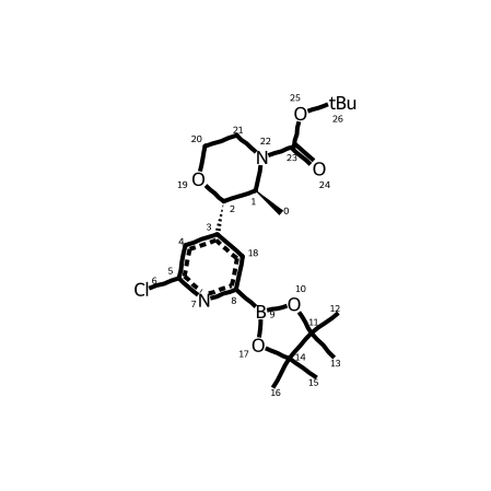 C[C@H]1[C@H](c2cc(Cl)nc(B3OC(C)(C)C(C)(C)O3)c2)OCCN1C(=O)OC(C)(C)C